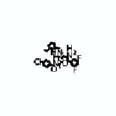 CCc1cccc(CNC[C@@H](OC(=O)[C@@H](C)NC(=O)c2ccc(Cl)cc2)[C@@H](N)Cc2cc(F)cc(F)c2)c1